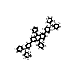 c1ccc(-c2c3ccc(-c4ccc(N(c5ccccc5)c5cccnc5)cc4)cc3c(-c3ccccc3)c3ccc(-c4ccc(N(c5ccccc5)c5cccnc5)cc4)cc23)cc1